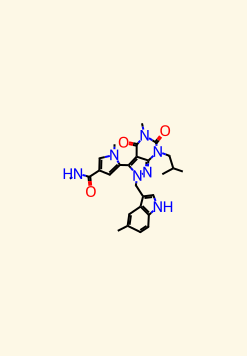 CNC(=O)c1cc(-c2c3c(=O)n(C)c(=O)n(CC(C)C)c3nn2Cc2c[nH]c3ccc(C)cc23)n(C)c1